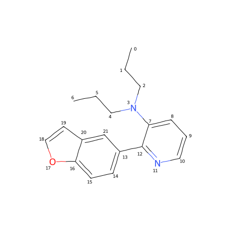 CCCN(CCC)c1cccnc1-c1ccc2occc2c1